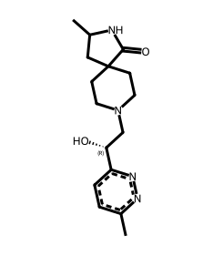 Cc1ccc([C@H](O)CN2CCC3(CC2)CC(C)NC3=O)nn1